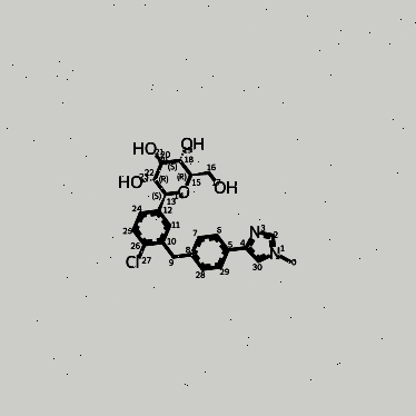 Cn1cnc(-c2ccc(Cc3cc([C@@H]4O[C@H](CO)[C@@H](O)[C@H](O)[C@H]4O)ccc3Cl)cc2)c1